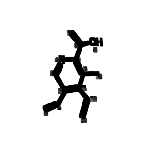 C=Cc1cnc(C(=C)O)c(C)c1C=C